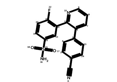 N#Cc1ccc(-c2cccnc2-c2cc(S(N)(=O)=O)ccc2F)cc1